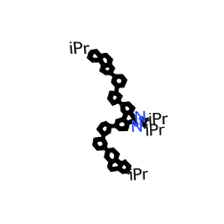 CC(C)c1ccc2c(ccc3cc(-c4cccc(-c5cccc(-c6ccc7c(c6)c6cc(-c8cccc(-c9cccc(-c%10ccc%11c(ccc%12cc(C(C)C)ccc%12%11)c%10)c9)c8)ccc6c6nc(C(C)C)c(C(C)C)nc76)c5)c4)ccc32)c1